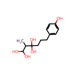 CC(C(O)O)C(O)(O)[CH]CCc1ccc(O)cc1